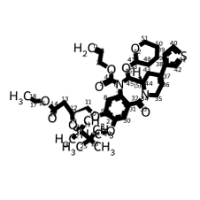 C=CCOC(=O)N1c2cc(OC[C@H](CC(=O)OCC)O[Si](C)(C)C(C)(C)C)c(OC)cc2C(=O)N2CC=C(c3ccsc3)C[C@H]2C1OC1CCCCO1